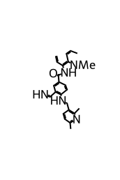 C=C/C(NC(=O)c1ccc(NCc2ccc(C)nc2C)c(C=N)c1)=C(\C=C/C)NC